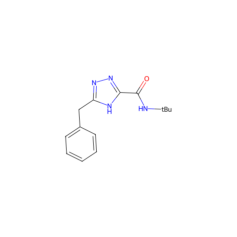 CC(C)(C)NC(=O)c1nnc(Cc2ccccc2)[nH]1